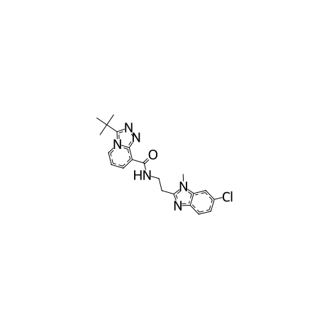 Cn1c(CCNC(=O)c2cccn3c(C(C)(C)C)nnc23)nc2ccc(Cl)cc21